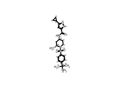 C[C@H]1C[C@@H](NC(=O)c2cc(C3CC3)on2)CCN1S(=O)(=O)c1ccc(C(C)(C)N)cc1